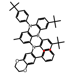 Cc1cc2c3c(c1)N(c1cc4c(cc1-c1ccccc1)OCCO4)c1ccc(C(C)(C)C)cc1B3c1cc(C(C)(C)C)ccc1N2c1ccc(C(C)(C)C)cc1